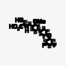 COc1cc(-c2ccc(Oc3cc(F)cc(F)c3)cc2)ccc1CN[C@H](CO)C(=O)O